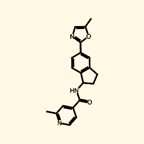 Cc1cc(C(=O)NC2CCc3cc(-c4ncc(C)o4)ccc32)ccn1